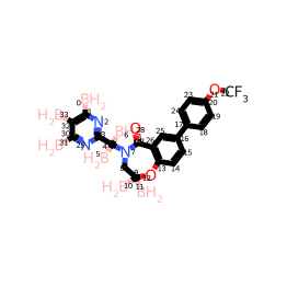 Bc1nc(C(B)(B)N2CC(B)(B)Oc3ccc(-c4ccc(OC(F)(F)F)cc4)cc3C2=O)nc(B)c1B